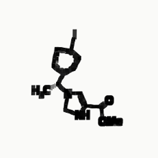 COC(=O)C1=CN([C@H](C)c2ccc(I)cc2)CN1